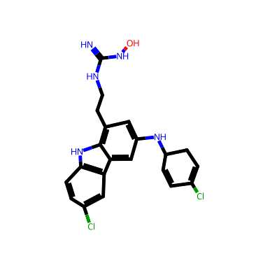 N=C(NO)NCCc1cc(NC2C=CC(Cl)=CC2)cc2c1[nH]c1ccc(Cl)cc12